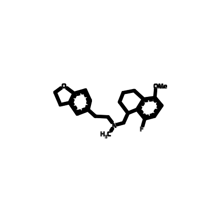 COc1ccc(F)c2c1CCCC2CN(C)CCc1ccc2c(c1)CCO2